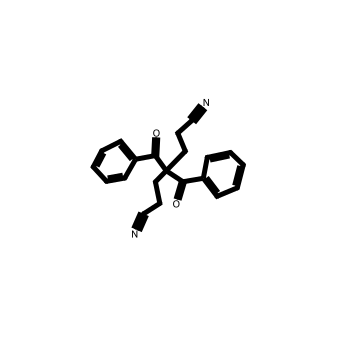 N#CCCC(CCC#N)(C(=O)c1ccccc1)C(=O)c1ccccc1